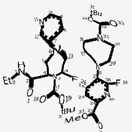 CCNC(=O)C1CN(c2cccnc2)CC(F)N1C(=O)OC(C)(C)C.COC(=O)c1ccc(N2CCN(C(=O)OC(C)(C)C)CC2)c(F)n1